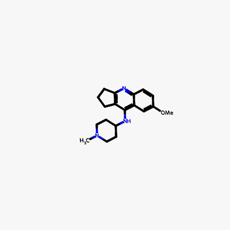 COc1ccc2nc3c(c(NC4CCN(C)CC4)c2c1)CCC3